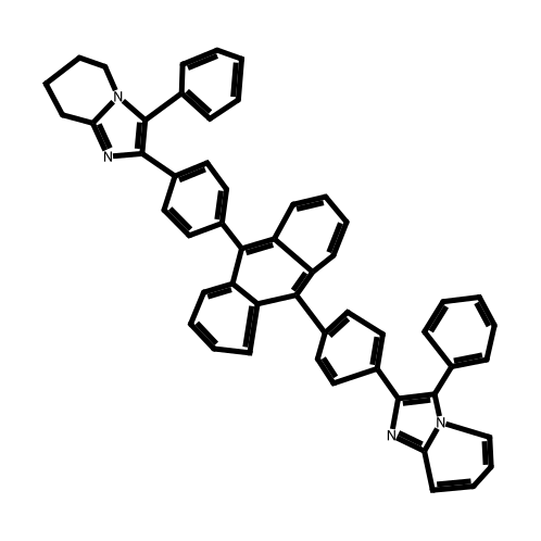 c1ccc(-c2c(-c3ccc(-c4c5ccccc5c(-c5ccc(-c6nc7ccccn7c6-c6ccccc6)cc5)c5ccccc45)cc3)nc3n2CCCC3)cc1